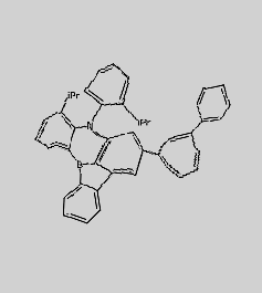 CC(C)c1ccccc1N1c2cc(-c3cccc(-c4ccccc4)c3)cc3c2B(c2ccccc2-3)c2cccc(C(C)C)c21